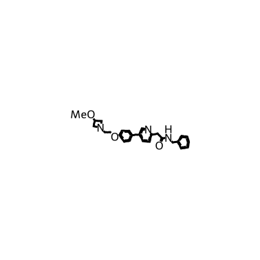 COC1CN(CCOc2ccc(-c3ccc(CC(=O)NCc4ccccc4)nc3)cc2)C1